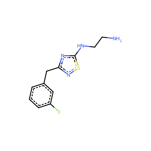 NCCNc1nc(Cc2cccc(F)c2)ns1